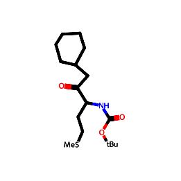 CSCCC(NC(=O)OC(C)(C)C)C(=O)CC1CCCCC1